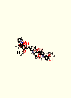 C=CC[C@H](/C=C(\C)C[C@H](C)CC[C@H]1O[C@@](O)(C(=O)C(=O)N2CCCC[C@H]2C)[C@H](C)C[C@@H]1OC)C(=O)C[C@H](O)[C@@H](C)[C@H](OC=O)/C(C)=C/[C@@H]1CC[C@@H](O)[C@H](OC)C1